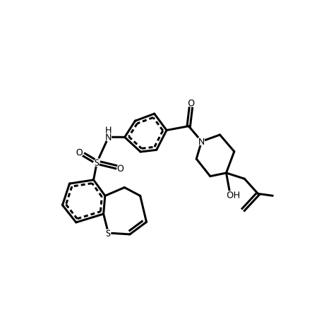 C=C(C)CC1(O)CCN(C(=O)c2ccc(NS(=O)(=O)c3cccc4c3CCC=CS4)cc2)CC1